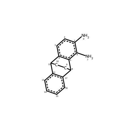 Nc1ccc2c(c1N)C1CCC2c2ccccc21